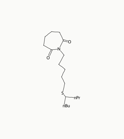 CCCCC(CCC)SCCCCCN1C(=O)CCCCC1=O